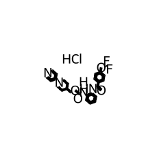 Cl.O=C(Nc1ccccc1NC(=O)c1ccc(OC(F)F)cc1)OCC1CCN(c2ccncc2)CC1